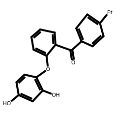 CCc1ccc(C(=O)c2ccccc2Oc2ccc(O)cc2O)cc1